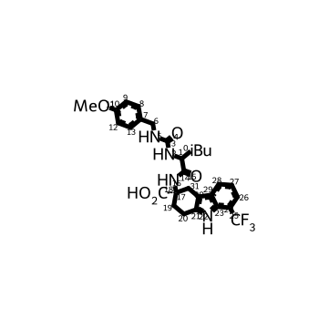 CCC(C)C(NC(=O)NCc1ccc(OC)cc1)C(=O)N[C@]1(C(=O)O)CCc2[nH]c3c(C(F)(F)F)cccc3c2C1